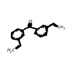 C=Cc1cccc(C(=O)c2cccc(C=C)c2)c1